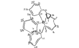 C[O+]1CCC=C(c2ccccc2)[B-]1(c1ccccc1)c1ccccc1